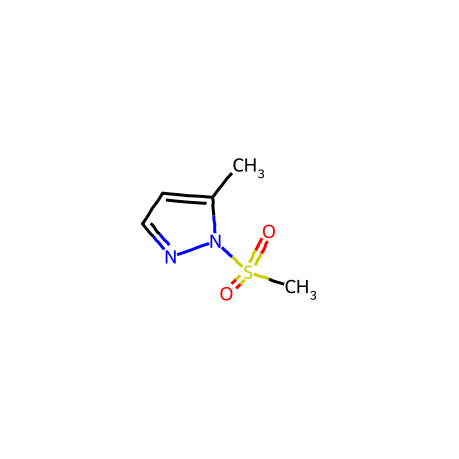 Cc1ccnn1S(C)(=O)=O